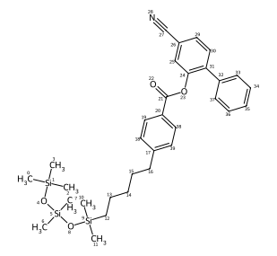 C[Si](C)(C)O[Si](C)(C)O[Si](C)(C)CCCCCc1ccc(C(=O)Oc2cc(C#N)ccc2-c2ccccc2)cc1